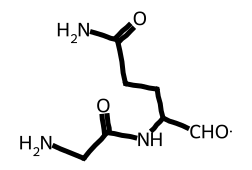 NCC(=O)NC([C]=O)CCC(N)=O